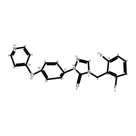 O=c1n(Cc2c(F)cccc2F)cnn1-c1ccc(Oc2ccncc2)cc1